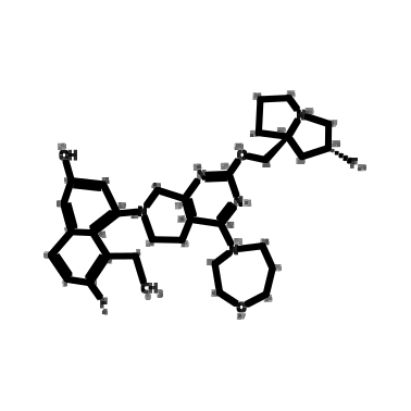 CCc1c(F)ccc2cc(O)cc(N3CCc4c(nc(OC[C@@]56CCCN5C[C@H](F)C6)nc4N4CCCOCC4)C3)c12